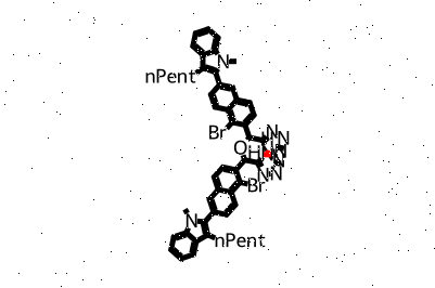 CCCCCc1c(-c2ccc3c(Br)c(C(OC(c4nnn[nH]4)c4ccc5cc(-c6c(CCCCC)c7ccccc7n6C)ccc5c4Br)c4nnn[nH]4)ccc3c2)n(C)c2ccccc12